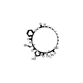 CC(C)[C@H]1C(=O)NCCCCCCCCNC(=O)COc2ccccc2C(=O)N[C@H](CC(C)(C)C)C(=O)N2C[C@@H](O)C[C@@H]2C(=O)N1C